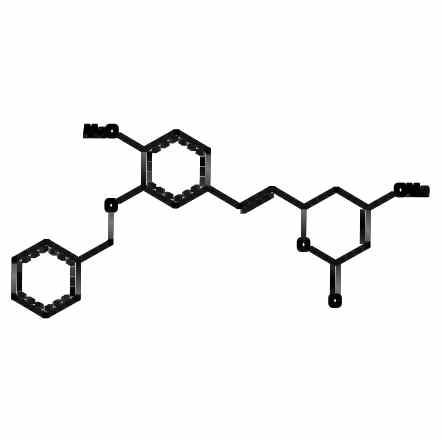 COC1=CC(=O)OC(/C=C/c2ccc(OC)c(OCc3ccccc3)c2)C1